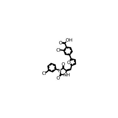 O=C(O)c1ccc(-c2ccc(C=C3NC(=O)N(c4cccc(Cl)c4)C3=O)o2)cc1Cl